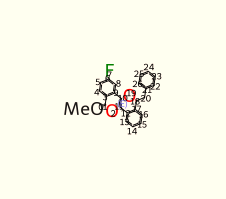 COC(=O)c1ccc(F)cc1/C=C/c1ccccc1C(=O)Cc1ccccc1